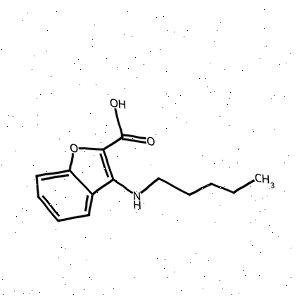 CCCCCNc1c(C(=O)O)oc2ccccc12